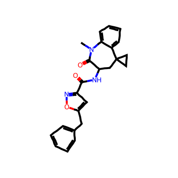 CN1C(=O)C(NC(=O)c2cc(Cc3ccccc3)on2)CC2(CC2)c2ccccc21